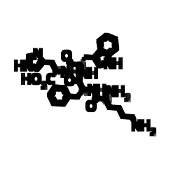 NCCCC[C@H](N)C(=O)N[C@@H](Cc1ccccc1)C(=O)N[C@@H](Cc1c[nH]c2ccccc12)C(=O)N[C@@H](Cc1c[nH]cn1)C(=O)O